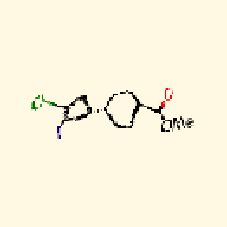 COC(=O)[C@H]1CC[C@H](c2ccc(Cl)c(I)c2)CC1